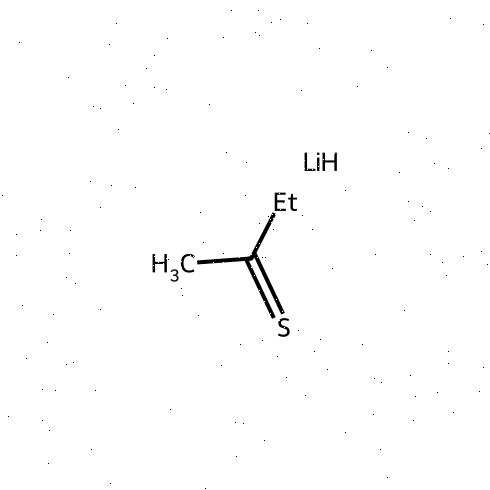 CCC(C)=S.[LiH]